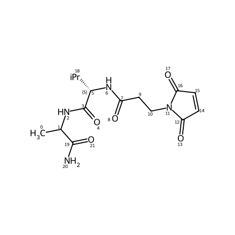 CC(NC(=O)[C@@H](NC(=O)CCN1C(=O)C=CC1=O)C(C)C)C(N)=O